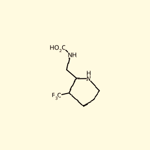 O=C(O)NCC1NCCCC1C(F)(F)F